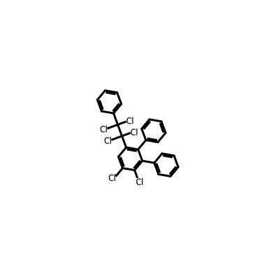 Clc1cc(C(Cl)(Cl)C(Cl)(Cl)c2ccccc2)c(-c2ccccc2)c(-c2ccccc2)c1Cl